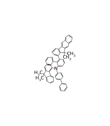 CC1(C)c2ccccc2-c2c(N(c3ccc(-c4ccccc4)cc3)c3cccc(-c4cccc5c4C(C)(C)c4cc6ccccc6cc4-5)c3-c3ccccc3)cccc21